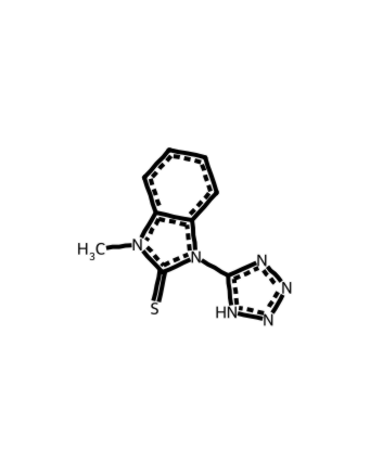 Cn1c(=S)n(-c2nnn[nH]2)c2ccccc21